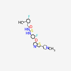 C#Cc1cc(F)ccc1CC(=O)NC(=S)Nc1ccc(Oc2ccnc3cc(C4=CCN(C)CC4)sc23)c(F)c1